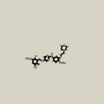 CCc1cc(OC)c(F)c(COc2cnc(Nc3ccc(OC)c(OCCN4CCOCC4)c3)nc2)c1F